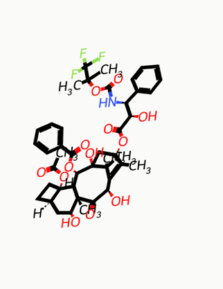 CC(=O)O[C@@]12CC[C@@H]1C[C@H](O)[C@@]1(C)C(=O)[C@H](O)C3=C(C)[C@@H](OC(=O)[C@H](O)[C@@H](NC(=O)OC(C)(C)C(F)(F)F)c4ccccc4)C[C@@](O)([C@@H](OC(=O)c4ccccc4)[C@H]21)C3(C)C